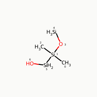 C[Si](C)(O[SiH3])[SiH2]O